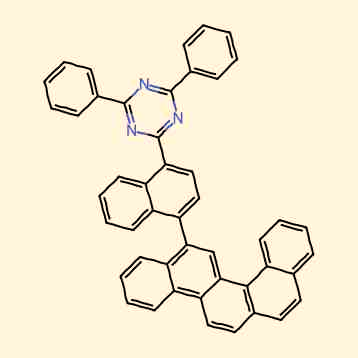 c1ccc(-c2nc(-c3ccccc3)nc(-c3ccc(-c4cc5c(ccc6ccc7ccccc7c65)c5ccccc45)c4ccccc34)n2)cc1